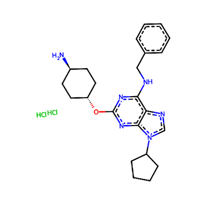 Cl.Cl.N[C@H]1CC[C@H](Oc2nc(NCc3ccccc3)c3ncn(C4CCCC4)c3n2)CC1